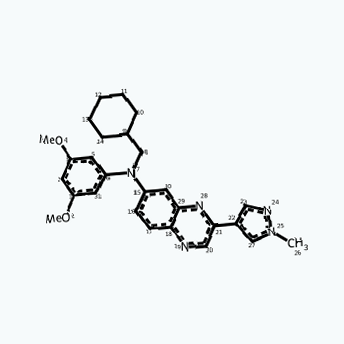 COc1cc(OC)cc(N(CC2CCCCC2)c2ccc3ncc(-c4cnn(C)c4)nc3c2)c1